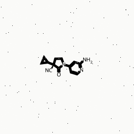 N#C[C@@]1(C2CC2)CCN(c2ccnc(N)c2)C1=O